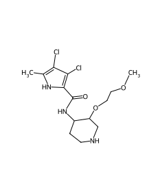 COCCOC1CNCCC1NC(=O)c1[nH]c(C)c(Cl)c1Cl